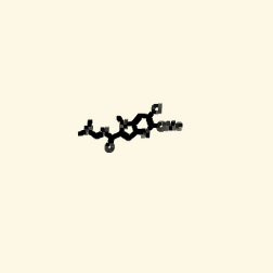 COc1nc2cc(C(=O)/N=C/N(C)C)n(C)c2cc1Cl